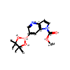 CC(C)(C)OC(=O)n1ccc2ncc(B3OC(C)(C)C(C)(C)O3)cc21